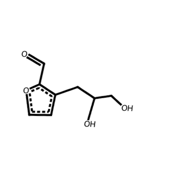 O=Cc1occc1CC(O)CO